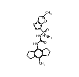 Cc1c2c(c(NC(=O)N[SH](N)(=O)c3cnn4c3O[C@H](C)C4)c3c1CCC3)CCC2